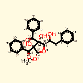 CO[C@H]1O[C@H](C(O)Cc2ccccc2)[C@](O)(C(=O)c2ccccc2)[C@]1(O)C(=O)c1ccccc1